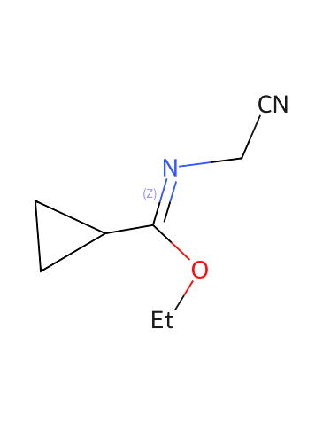 CCO/C(=N\CC#N)C1CC1